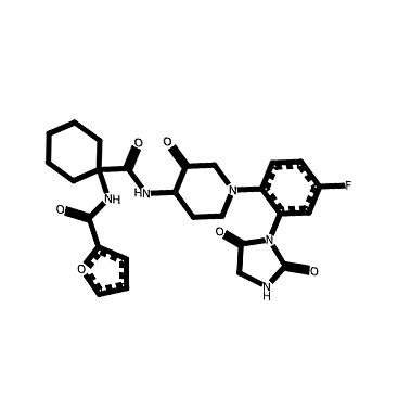 O=C(NC1(C(=O)NC2CCN(c3ccc(F)cc3N3C(=O)CNC3=O)CC2=O)CCCCC1)c1ccco1